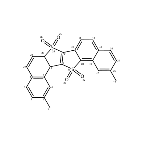 Cc1ccc2c(c1)C1C3=C(c4ccc5ccc(C)cc5c4S3(=O)=O)S(=O)(=O)C1C=C2